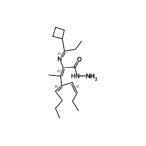 CC\C=C/C(=C\CCC)C(/C)=C(/N=C(\CC)C1CCC1)C(=O)NN